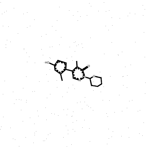 Cc1cc(O)ccc1-c1cnn(C2CCCCO2)c(=O)c1C